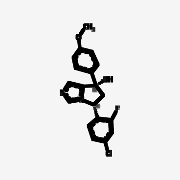 COc1ccc([C@@]2(O)C[C@H](c3ccc(Cl)cc3F)n3cncc32)cc1